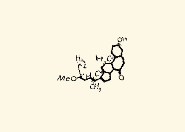 C=C(CC[C@@H](C)C1CCC2C3C(=O)CC4C[C@H](O)CC[C@]4(C)C3CC[C@@]21C)OC